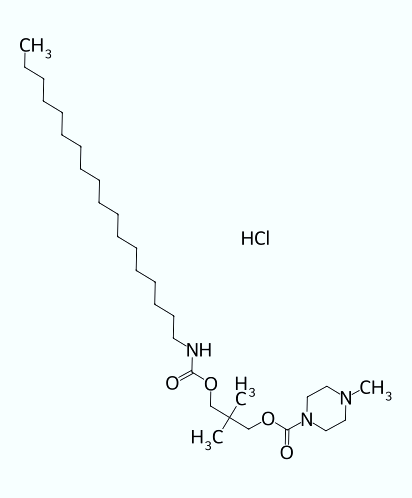 CCCCCCCCCCCCCCCCCCNC(=O)OCC(C)(C)COC(=O)N1CCN(C)CC1.Cl